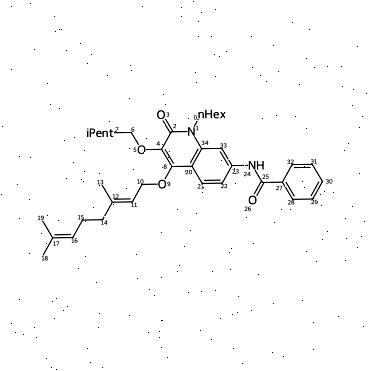 CCCCCCn1c(=O)c(OCC(C)CCC)c(OC/C=C(\C)CCC=C(C)C)c2ccc(NC(=O)c3ccccc3)cc21